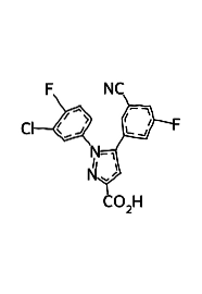 N#Cc1cc(F)cc(-c2cc(C(=O)O)nn2-c2ccc(F)c(Cl)c2)c1